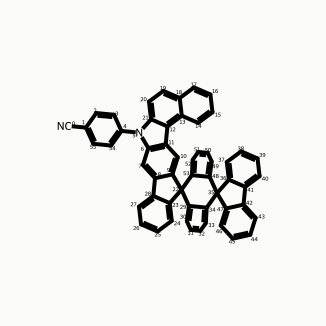 N#Cc1ccc(-n2c3cc4c(cc3c3c5ccccc5ccc32)C2(c3ccccc3-4)c3ccccc3C3(c4ccccc4-c4ccccc43)c3ccccc32)cc1